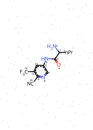 CCCC(N)C(=O)Nc1cnc(C#N)c(C(F)(F)F)c1